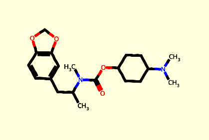 CC(Cc1ccc2c(c1)OCO2)N(C)C(=O)OC1CCC(N(C)C)CC1